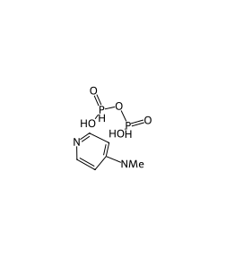 CNc1ccncc1.O=[PH](O)O[PH](=O)O